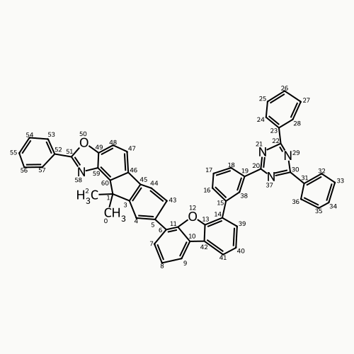 CC1(C)c2cc(-c3cccc4c3oc3c(-c5cccc(-c6nc(-c7ccccc7)nc(-c7ccccc7)n6)c5)cccc34)ccc2-c2ccc3oc(-c4ccccc4)nc3c21